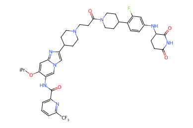 CC(C)Oc1cc2nc(C3CCN(CCC(=O)N4CCC(c5ccc(NC6CCC(=O)NC6=O)cc5F)CC4)CC3)cn2cc1NC(=O)c1cccc(C(F)(F)F)n1